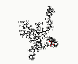 C[C@H](CCC(=O)N[C@@H](CCC(=O)NC[C@H](O)[C@@H](O)[C@H](O)[C@H](O)CO)C(=O)N[C@@H](CCC(=O)O)C(=O)N[C@@H](CCC(=O)NC[C@H](O)[C@@H](O)[C@H](O)[C@H](O)CO)C(=O)N[C@@H](CCC(=O)O)C(=O)N[C@@H](CCC(=O)NC[C@H](O)[C@@H](O)[C@H](O)[C@H](O)CO)C(=O)N[C@@H](CNC(=O)CCSCC1c2ccccc2-c2ccccc21)C(=O)N[C@@H](CSSc1ccccn1)C(=O)O)NC(=O)c1ccc(NCc2cnc3nc(N)[nH]c(=O)c3n2)cc1